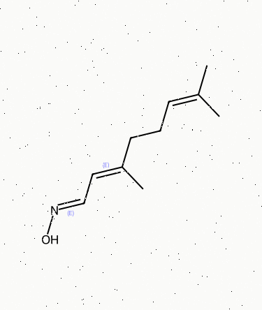 CC(C)=CCC/C(C)=C/C=N/O